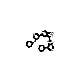 c1ncc(-c2cc3c(-c4nc5c(C6CCCCC6)cncc5[nH]4)n[nH]c3cn2)cc1OC1CCCCC1